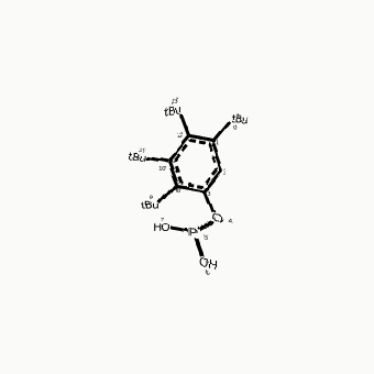 CC(C)(C)c1cc(OP(O)O)c(C(C)(C)C)c(C(C)(C)C)c1C(C)(C)C